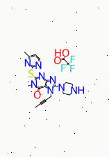 CC#CCn1c(N2CCNCC2)nc2nc(Sc3nccc(C)n3)n(C)c(=O)c21.O=C(O)C(F)(F)F